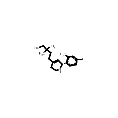 Cc1cc(F)ccc1[C@H]1C=C(CCC(C)(C)CO)CCN1